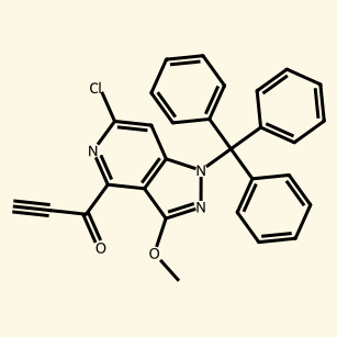 C#CC(=O)c1nc(Cl)cc2c1c(OC)nn2C(c1ccccc1)(c1ccccc1)c1ccccc1